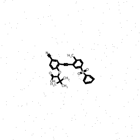 Cc1ccc(S(=O)(=O)c2ccccc2)cc1C#Cc1cc(C#N)ccc1OC(C(=O)O)C(C)(C)C